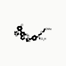 COCCOCCN(C(=O)O)c1ccc(-c2ncc([C@@H]3CCc4cc(-c5cc(Cl)ccc5-n5cnnn5)cc(=O)n43)[nH]2)cc1